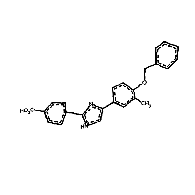 Cc1cc(-c2c[nH]c(-c3ccc(C(=O)O)cc3)n2)ccc1OCc1ccccc1